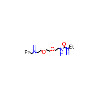 CCNC(=O)NCCOCCOCCNCC(C)C